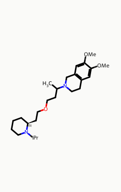 COc1cc2c(cc1OC)CN(C(C)CCOCC[C@@H]1CCCCN1C(C)C)CC2